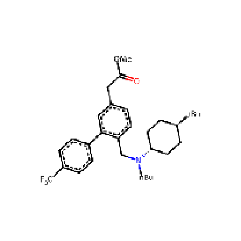 CCCCN(Cc1ccc(CC(=O)OC)cc1-c1ccc(C(F)(F)F)cc1)[C@H]1CC[C@H](C(C)(C)C)CC1